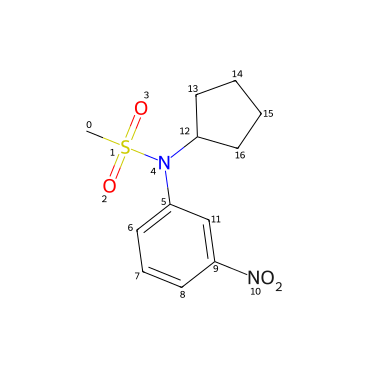 CS(=O)(=O)N(c1cccc([N+](=O)[O-])c1)C1CCCC1